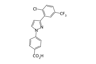 O=C(O)c1ccc(-n2ccc(-c3cc(C(F)(F)F)ccc3Cl)n2)cc1